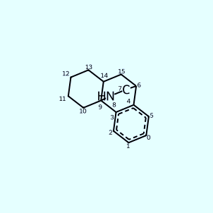 c1ccc2c(c1)C1CNC23CCCCC3C1